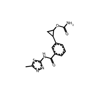 Cc1nnc(NC(=O)c2cccc(C3CC3OC(N)=O)c2)s1